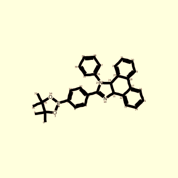 CC1(C)OB(c2ccc(C3=NC4c5ccccc5-c5ccccc5C4N3c3ccccc3)cc2)OC1(C)C